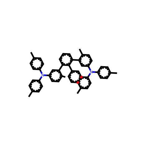 Cc1ccc(N(c2ccc(C)cc2)c2ccc(C)c(-c3cccc(-c4cc(N(c5ccc(C)cc5)c5ccc(C)cc5)ccc4C)c3-c3ccccc3)c2)cc1